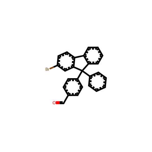 O=Cc1ccc(C2(c3ccccc3)c3ccccc3-c3ccc(Br)cc32)cc1